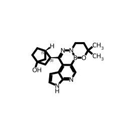 CC1(C)CCN2N=C([C@H]3CC4(O)CC[C@H]3C4)c3c(cnc4[nH]ccc34)B2O1